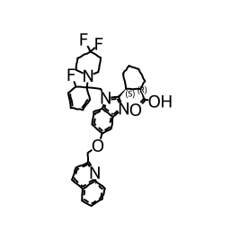 O=C(O)[C@@H]1CCCC[C@@H]1c1nc2cc(OCc3ccc4ccccc4n3)ccc2n1CC1(N2CCC(F)(F)CC2)C=CC=CC1F